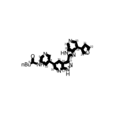 CCCCC(=O)Nc1cncc(-c2cnc3[nH]nc(-c4nc5c(-c6ccoc6)cncc5[nH]4)c3c2)c1